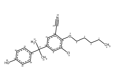 CCCCCOc1c(Cl)cc(C(C)(C)c2ccc(O)cc2)cc1C#N